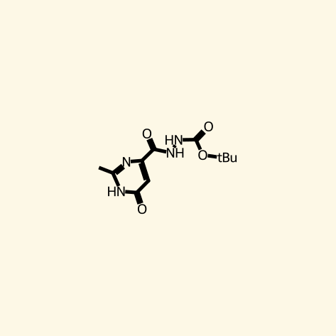 Cc1nc(C(=O)NNC(=O)OC(C)(C)C)cc(=O)[nH]1